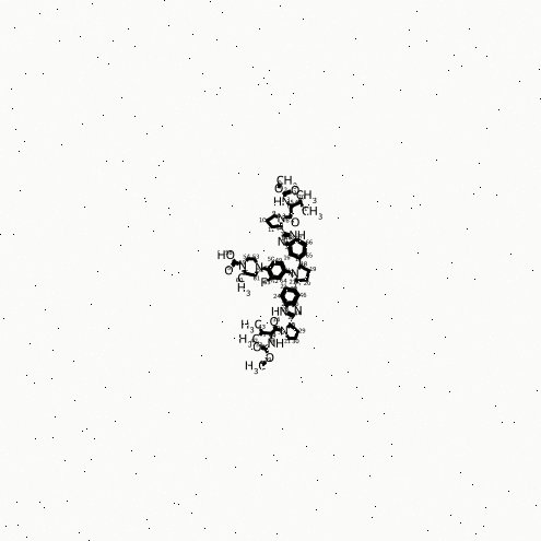 COC(=O)N[C@H](C(=O)N1CCC[C@H]1c1nc2cc([C@H]3CC[C@H](c4ccc5[nH]c([C@@H]6CCCN6C(=O)[C@@H](NC(=O)OC)C(C)C)nc5c4)N3c3ccc(N4CCN(C(=O)O)C(C)C4)c(F)c3)ccc2[nH]1)C(C)C